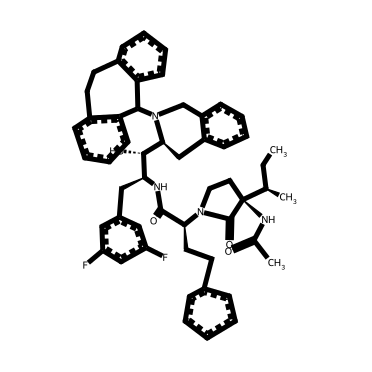 CC[C@@H](C)[C@@]1(NC(C)=O)CCN([C@@H](CCc2ccccc2)C(=O)N[C@@H](Cc2cc(F)cc(F)c2)[C@H](O)[C@@H]2Cc3ccccc3CN2C2c3ccccc3CCc3ccccc32)C1=O